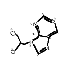 ClC(Cl)n1cnc2cncnc21